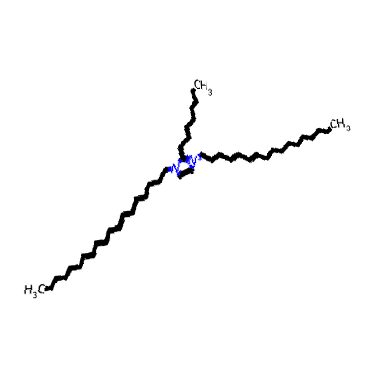 CCCCCCCCCCCCCCCCCCCn1cc[n+](CCCCCCCCCCCCCCCCC)c1CCCCCCCC